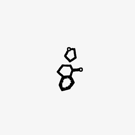 C1CCOC1.O=C1CCCc2ccccc21